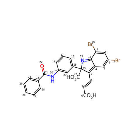 O=C(O)C=CC1=c2cc(Br)cc(Br)c2=NC1(C(=O)O)c1cccc(NC(=O)c2ccccc2)c1